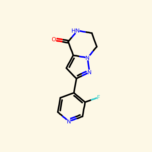 O=C1NCCn2nc(-c3ccncc3F)cc21